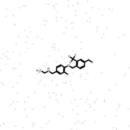 CCNCc1ccc(OCc2ccc(CF)cc2C(F)(F)F)c(F)c1